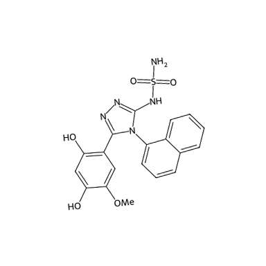 COc1cc(-c2nnc(NS(N)(=O)=O)n2-c2cccc3ccccc23)c(O)cc1O